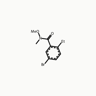 CCc1ccc(Br)cc1C(=O)N(C)OC